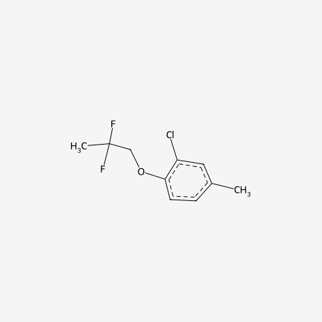 Cc1ccc(OCC(C)(F)F)c(Cl)c1